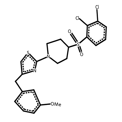 COc1cccc(Cc2csc(N3CCC(S(=O)(=O)c4cccc(Cl)c4Cl)CC3)n2)c1